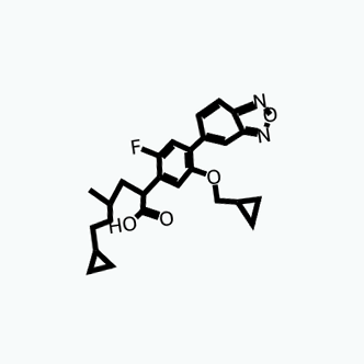 CC(CCC1CC1)CC(C(=O)O)c1cc(OCC2CC2)c(-c2ccc3nonc3c2)cc1F